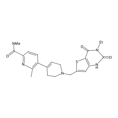 CCn1c(=O)[nH]c2cc(CN3CC=C(c4ccc(C(=O)NC)nc4C)CC3)sc2c1=O